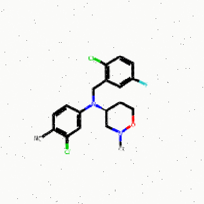 CCN1C[C@@H](N(Cc2cc(F)ccc2Cl)c2ccc(C#N)c(Cl)c2)CCO1